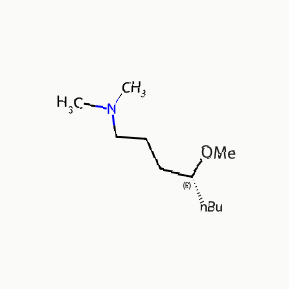 CCCC[C@H](CCCN(C)C)OC